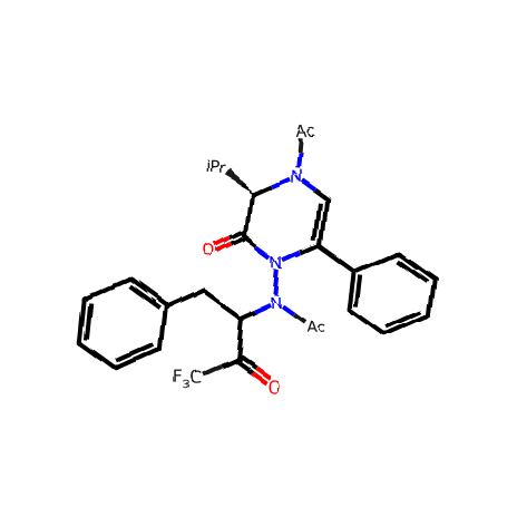 CC(=O)N1C=C(c2ccccc2)N(N(C(C)=O)C(Cc2ccccc2)C(=O)C(F)(F)F)C(=O)[C@H]1C(C)C